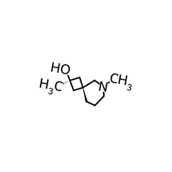 CN1CCC[C@]2(C1)C[C@](C)(O)C2